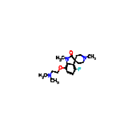 CN(C)CCOc1ccc(F)c2c1N(C)C(=O)C21CCN(C)CC1